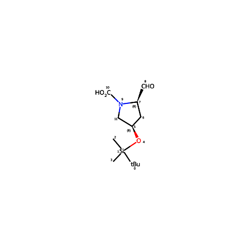 CC(C)(C)[Si](C)(C)O[C@@H]1C[C@H](C=O)N(C(=O)O)C1